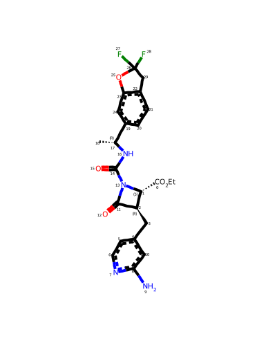 CCOC(=O)[C@@H]1[C@@H](Cc2ccnc(N)c2)C(=O)N1C(=O)N[C@H](C)c1ccc2c(c1)OC(F)(F)C2